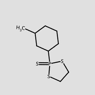 CC1CCCC(P2(=S)SCCS2)C1